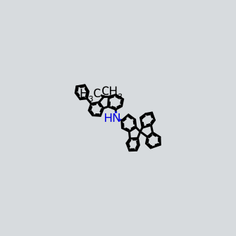 CC1(C)c2cccc(Nc3ccc4c(c3)-c3ccccc3C43c4ccccc4-c4ccccc43)c2-c2cccc(-c3ccccc3)c21